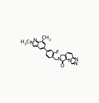 Cc1cc(-c2ccc(CN3Cc4ccc5nncn5c4C3=O)c(F)c2)cc2cn(C)nc12